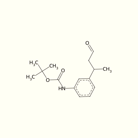 CC(CC=O)c1cccc(NC(=O)OC(C)(C)C)c1